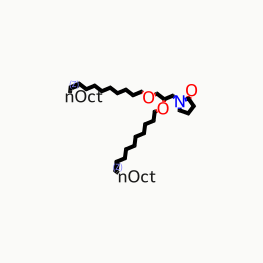 CCCCCCCC/C=C\CCCCCCCCOCC(CN1CCCC1=O)OCCCCCCCC/C=C\CCCCCCCC